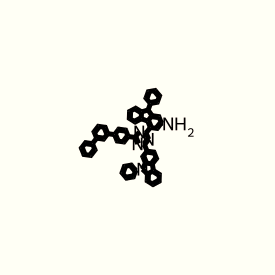 Nc1cc(-c2nc(-c3ccc(-c4cccc(-c5ccccc5)c4)cc3)nc(-c3ccc4c5ccccc5n(-c5ccccc5)c4c3)n2)c2c(c1)C(c1ccccc1)c1ccccc1-2